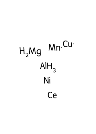 [AlH3].[Ce].[Cu].[MgH2].[Mn].[Ni]